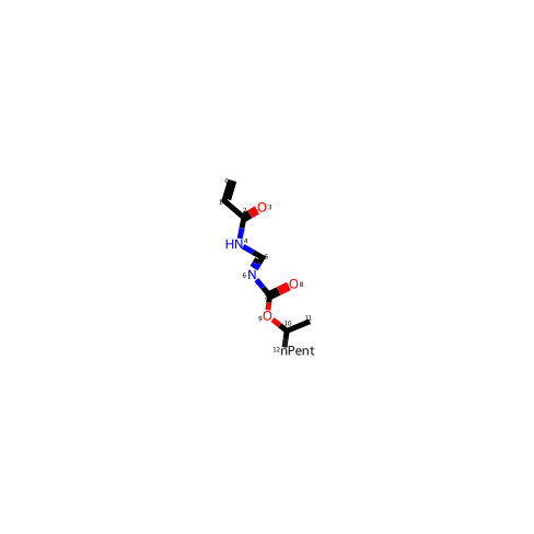 C=CC(=O)NC=NC(=O)OC(C)CCCCC